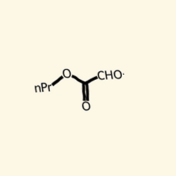 CCCOC(=O)[C]=O